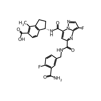 Cc1c(C(=O)O)ccc2c1CC[C@@H]2NC(=O)c1cc(C(=O)NCc2ccc(F)c(C(N)=O)c2)nc2c(F)cnn12